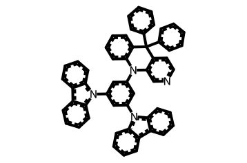 c1ccc(C2(c3ccccc3)c3ccccc3N(c3cc(-n4c5ccccc5c5ccccc54)cc(-n4c5ccccc5c5ccccc54)c3)c3cnccc32)cc1